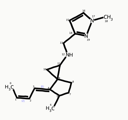 C/C=C\C=C1/C(C)CCC12CC2NCc1ccn(C)n1